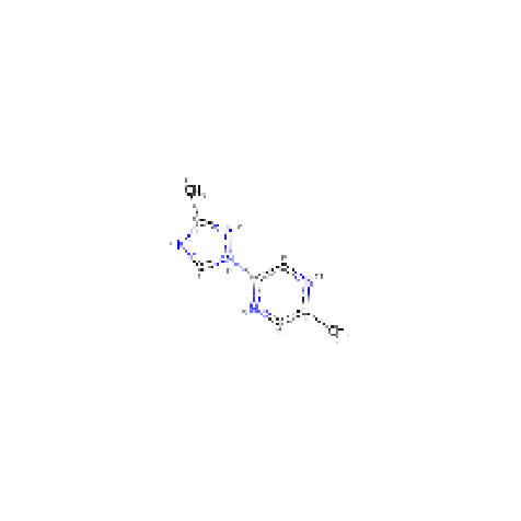 Cc1cnc(-n2cnc(C)n2)cn1